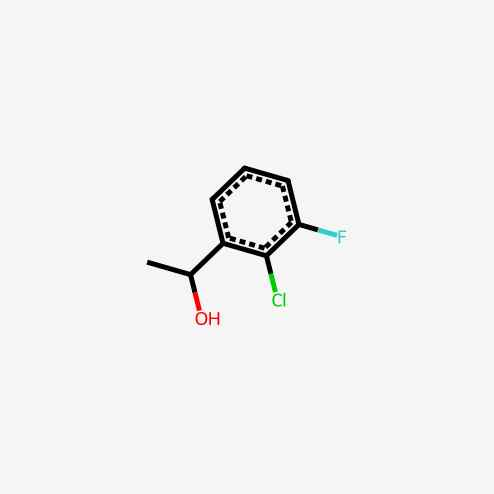 CC(O)c1cccc(F)c1Cl